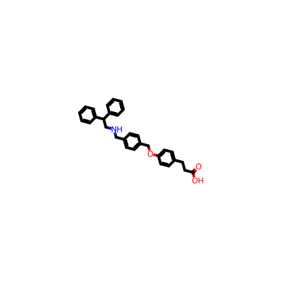 O=C(O)CCc1ccc(OCc2ccc(CNCC(c3ccccc3)c3ccccc3)cc2)cc1